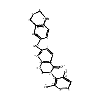 O=C1c2cnc(Nc3ccc4c(c3)CCCN4)nc2OCN1c1c(Cl)cccc1Cl